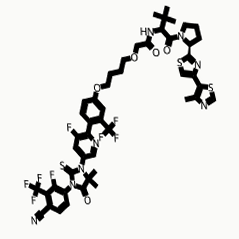 Cc1ncsc1-c1csc([C@@H]2CCCN2C(=O)C(NC(=O)COCCCCOc2ccc(-c3ncc(N4C(=S)N(c5ccc(C#N)c(C(F)(F)F)c5F)C(=O)C4(C)C)cc3F)c(C(F)(F)F)c2)C(C)(C)C)n1